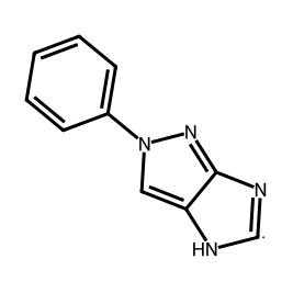 [c]1nc2nn(-c3ccccc3)cc2[nH]1